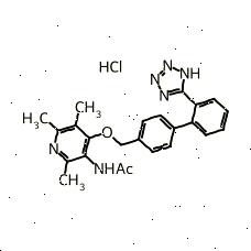 CC(=O)Nc1c(C)nc(C)c(C)c1OCc1ccc(-c2ccccc2-c2nnn[nH]2)cc1.Cl